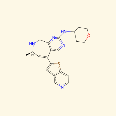 C[C@@H]1C=C(c2cc3cnccc3s2)c2cnc(NC3CCOCC3)nc2CN1